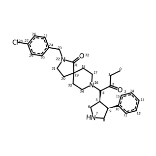 CCC(=O)C([C@@H]1CNC[C@@H]1c1ccccc1)N1CCC2(CCN(Cc3ccc(Cl)cc3)C2=O)CC1